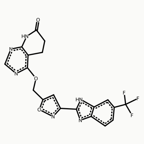 O=C1CCc2c(ncnc2OCc2cc(-c3nc4ccc(C(F)(F)F)cc4[nH]3)no2)N1